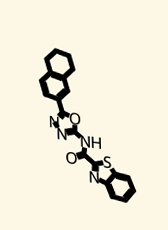 O=C(Nc1nnc(-c2ccc3c(c2)CCCC3)o1)c1nc2ccccc2s1